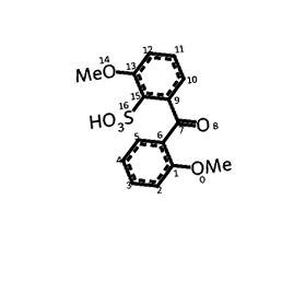 COc1ccccc1C(=O)c1cccc(OC)c1S(=O)(=O)O